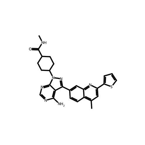 CNC(=O)C1CCC(n2nc(-c3ccc4c(C)cc(-c5cccs5)nc4c3)c3c(N)ncnc32)CC1